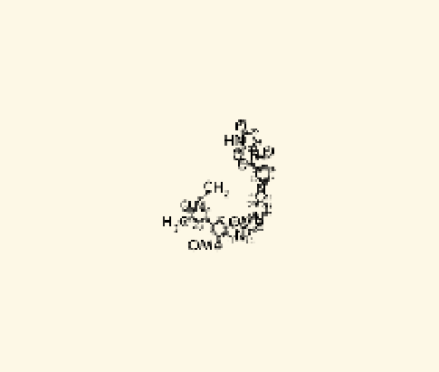 C=CCn1cc(-c2cc(OC)c(CN3CC(CN4CCC5(CC4)CN(c4ccc6c(c4)C(=O)N(C4CCC(=O)NC4=O)C6=O)C5)C3)c(OC)c2)cc(C)c1=O